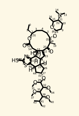 CC[C@H]1CCC[C@H](O[C@H]2CC[C@H](N(C)C)C(C)O2)[C@@H](C)C(=O)C2=C[C@H]3[C@@H]4C[C@H](OC(OC)C(OC)C(OC)C(OC)C(C)C)C[C@H]4c4sc(S)nc4[C@H]3[C@@H]2CC(=O)O1